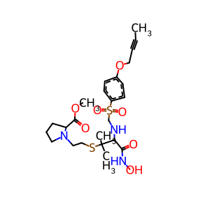 CC#CCOc1ccc(S(=O)(=O)CNC(C(=O)NO)C(C)(C)SCCN2CCCC2C(=O)OC)cc1